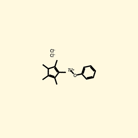 CC1=C(C)C(C)C(C)=C1C.[Cl-].[Cl-].[Ti+2][O]c1ccccc1